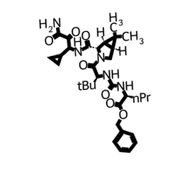 CCC[C@H](NC(=O)N[C@H](C(=O)N1C[C@H]2[C@@H]([C@H]1C(=O)NC(C(=O)C(N)=O)C1CC1)C2(C)C)C(C)(C)C)C(=O)OCc1ccccc1